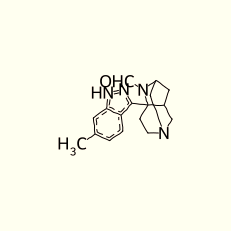 Cc1ccc2c(C34CCN5CC(CC3C5)N4C=O)n[nH]c2c1